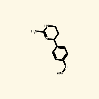 CCCCOc1ccc(C2CCNC(N)=N2)cc1